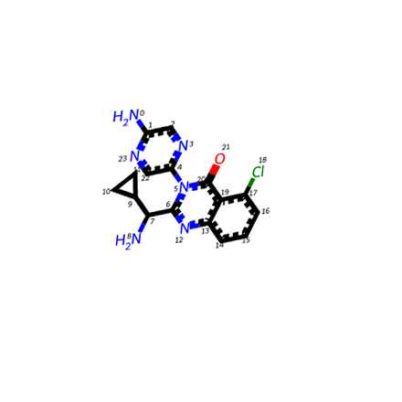 Nc1cnc(-n2c(C(N)C3CC3)nc3cccc(Cl)c3c2=O)cn1